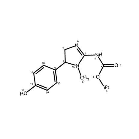 CC(C)OC(=O)NC1=NCC(c2ccc(O)cc2)N1C